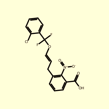 O=C(O)c1cccc(C/C=C/OC(F)(F)c2ccccc2Cl)c1[N+](=O)[O-]